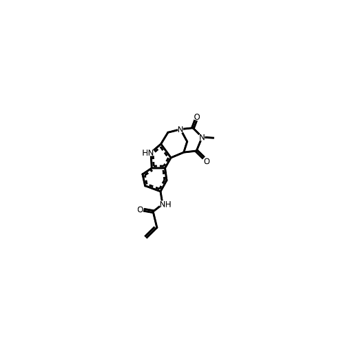 C=CC(=O)Nc1ccc2[nH]c3c(c2c1)C1CN(C3)C(=O)N(C)C1=O